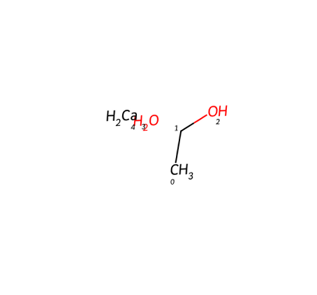 CCO.O.[CaH2]